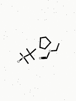 C1CCCC1.CC(C)(C)[Si](C)(C)[O].CCOC=O